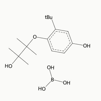 CC(C)(C)c1cc(O)ccc1OC(C)(C)C(C)(C)O.OB(O)O